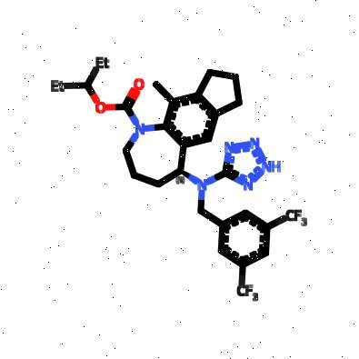 CCC(CC)OC(=O)N1CCC[C@H](N(Cc2cc(C(F)(F)F)cc(C(F)(F)F)c2)c2nn[nH]n2)c2cc3c(c(C)c21)CCC3